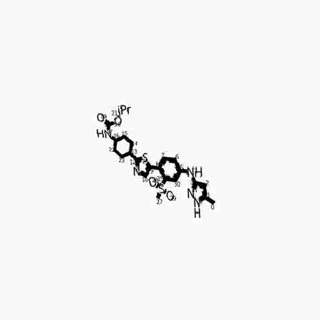 Cc1cc(Nc2ccc(-c3cnc(C4CCC(NC(=O)OC(C)C)CC4)s3)c(S(C)(=O)=O)c2)n[nH]1